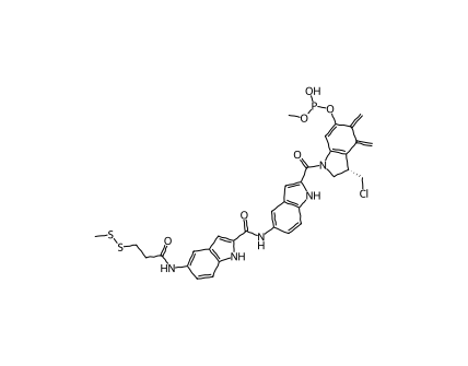 C=c1c(OP(O)OC)cc2c(c1=C)[C@H](CCl)CN2C(=O)c1cc2cc(NC(=O)c3cc4cc(NC(=O)CCSSC)ccc4[nH]3)ccc2[nH]1